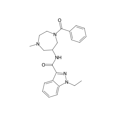 CCn1nc(C(=O)NC2CN(C)CCN(C(=O)c3ccccc3)C2)c2ccccc21